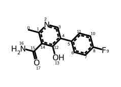 Cc1ncc(-c2ccc(F)cc2)c(O)c1C(N)=O